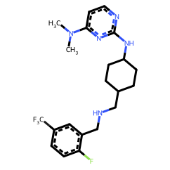 CN(C)c1ccnc(NC2CCC(CNCc3cc(C(F)(F)F)ccc3F)CC2)n1